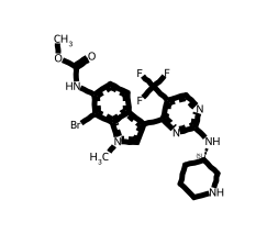 COC(=O)Nc1ccc2c(-c3nc(N[C@H]4CCCNC4)ncc3C(F)(F)F)cn(C)c2c1Br